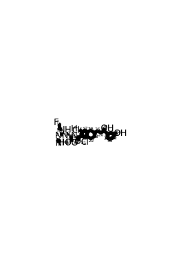 N#C/N=C(/NCCF)NC[C@H](NC(=O)c1c(Cl)cc2c(c1Cl)CCC(CCC(O)c1cccc(O)c1)C2)C(=O)O